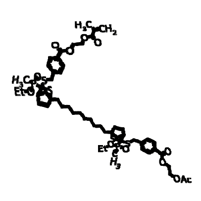 C=C(C)C(=O)OCCOC(=O)c1ccc(CSC2(P(C)(=O)OCC)SC3(CCCCCCCCCCC45C=CC(C4)C(SCc4ccc(C(=O)OCCOC(C)=O)cc4)(P(C)(=O)OCC)S5)C=CC2C3)cc1